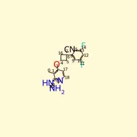 Cc1c(O[C@H]2C[C@](C#N)(c3cc(F)cc(F)c3)C2)ccnc1NN